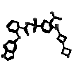 O=C(NS(=O)(=O)c1ccc(NC2CN(C3COC3)C2)c([N+](=O)[O-])c1)c1ccccc1Oc1cnc2[nH]ccc2c1